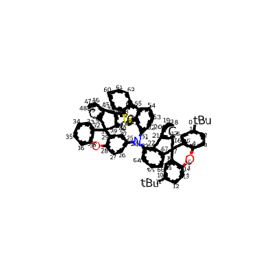 CC(C)(C)c1ccc2c(c1)C1(c3cc(C(C)(C)C)ccc3O2)c2ccccc2-c2c(N(c3ccc4c(c3)C3(c5ccccc5O4)c4ccccc4-c4ccccc43)c3cccc4c3sc3ccccc34)cccc21